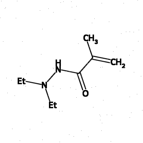 C=C(C)C(=O)NN(CC)CC